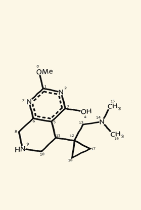 COc1nc(O)c2c(n1)CNCC2C1(CN(C)C)CC1